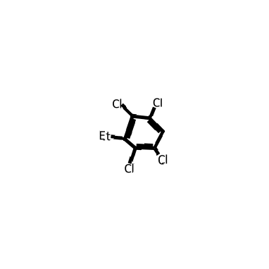 CCc1c(Cl)c(Cl)cc(Cl)c1Cl